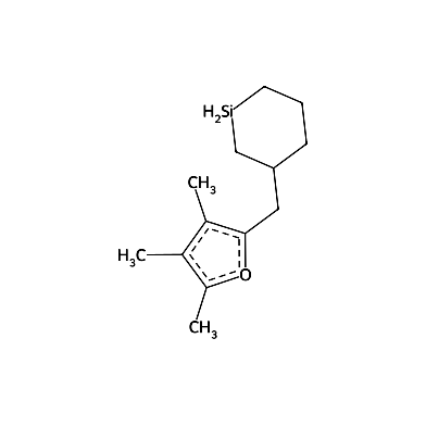 Cc1oc(CC2CCC[SiH2]C2)c(C)c1C